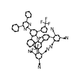 N#Cc1cc(C#N)c(-c2ccc3c(c2)c2cc(-c4c(C#N)cc(C#N)cc4C#N)ccc2n3-c2c(-c3cccc(C(F)(F)F)c3)cc(-c3nc(-c4ccccc4)cc(-c4ccccc4)n3)cc2-c2cccc(C(F)(F)F)c2)c(C#N)c1